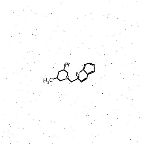 CC1CC(C(C)C)CN(Cc2ccc3ccccc3n2)C1